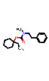 CCC1(OC(=O)N(C)CCc2ccccc2)CCCCC1